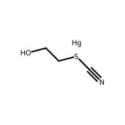 N#CSCCO.[Hg]